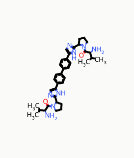 CC(C)[C@H](N)C(=O)N1CCCC1c1ncc(-c2ccc(-c3ccc(-c4cnc(C5CCCN5C(=O)[C@@H](N)C(C)C)[nH]4)cc3)cc2)[nH]1